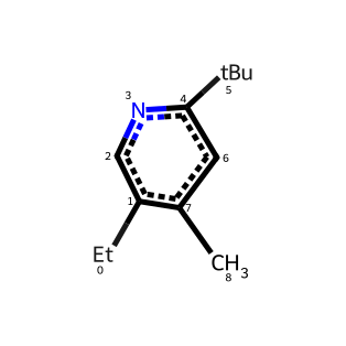 CCc1cnc(C(C)(C)C)cc1C